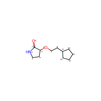 O=C1NCCC1OCCC1CCCC1